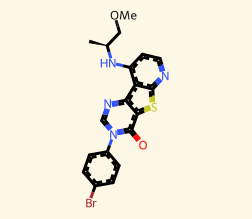 COC[C@H](C)Nc1ccnc2sc3c(=O)n(-c4ccc(Br)cc4)cnc3c12